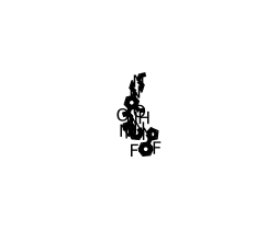 CCN1CCN(c2ccc(C(=O)Nc3cnn4ccc(N5CCCC5c5cc(F)ccc5F)nc34)c(OC)c2)CC1